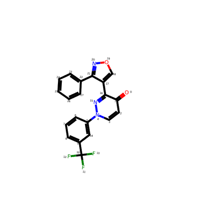 O=c1ccn(-c2cccc(C(F)(F)F)c2)nc1-c1conc1-c1ccccc1